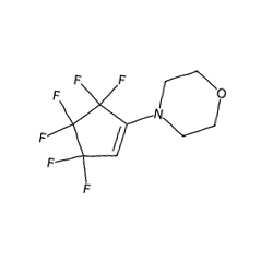 FC1(F)C=C(N2CCOCC2)C(F)(F)C1(F)F